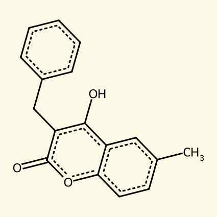 Cc1ccc2oc(=O)c(Cc3ccccc3)c(O)c2c1